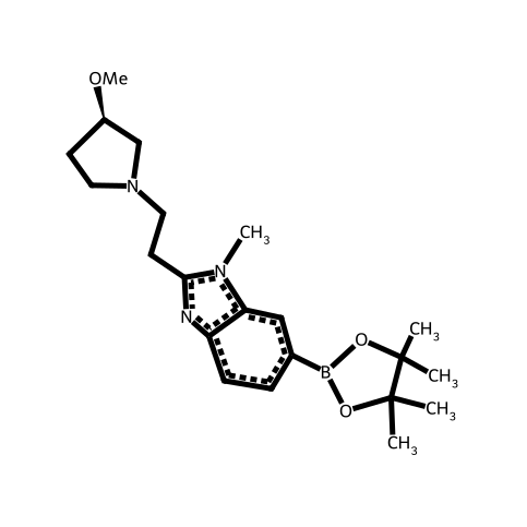 CO[C@@H]1CCN(CCc2nc3ccc(B4OC(C)(C)C(C)(C)O4)cc3n2C)C1